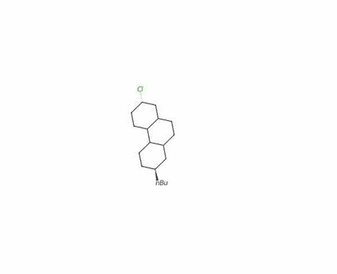 CCCC[C@H]1CCC2C(CCC3C[C@@H](Cl)CCC32)C1